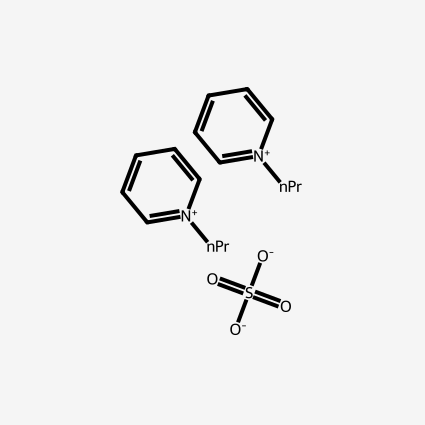 CCC[n+]1ccccc1.CCC[n+]1ccccc1.O=S(=O)([O-])[O-]